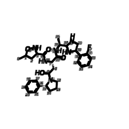 CC1CC(C(=O)N[C@@H](CC(O)N2CCC[C@@H]2c2ccccc2)C(=O)N[C@@H](C)C2NCC(c3ccccc3F)N2)NO1